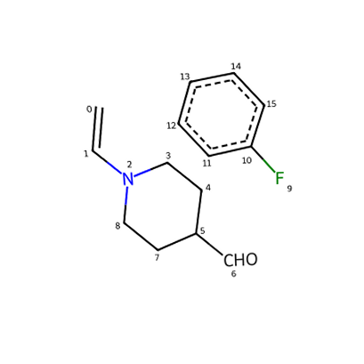 C=CN1CCC(C=O)CC1.Fc1ccccc1